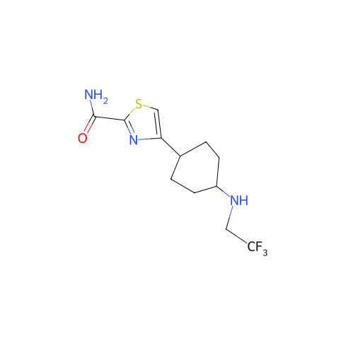 NC(=O)c1nc(C2CCC(NCC(F)(F)F)CC2)cs1